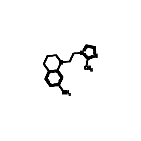 Cc1nccn1CCN1CCCc2ccc(N)cc21